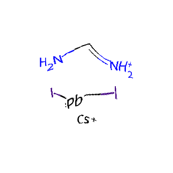 NC=[NH2+].[Cs+].[I][Pb][I]